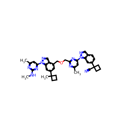 CNc1nc(C)cc(-n2ncc3c(COCc4nc(C)cc(-n5ncc6ccc(C7(C#N)CCC7)cc65)n4)cc(C4(C)CCC4)cc32)n1